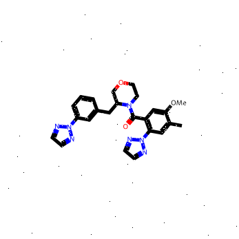 COc1cc(C(=O)N2CCOCC2Cc2cccc(-n3nccn3)c2)c(-n2nccn2)cc1C